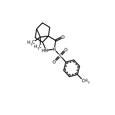 Cc1ccc(S(=O)(=O)N2NC3CC4CCC3(C2=O)C4(C)C)cc1